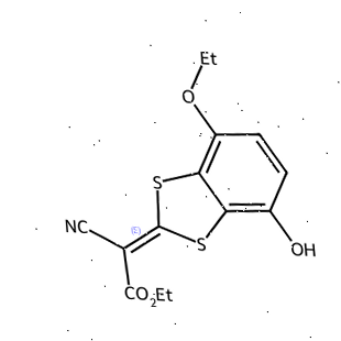 CCOC(=O)/C(C#N)=C1\Sc2c(O)ccc(OCC)c2S1